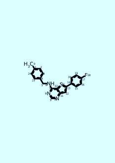 Cc1ccc(CNc2ncnc3cc(-c4ccc(F)cc4)sc23)cc1